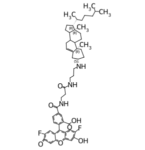 CC(C)CCCC(C)[C@H]1CCC2C3CC=C4C[C@@H](NCCCNC(=O)CCNC(=O)c5ccc(-c6c7cc(F)c(=O)cc-7oc7cc(O)c(F)cc67)c(C(=O)O)c5)CC[C@]4(C)C3CC[C@@]21C